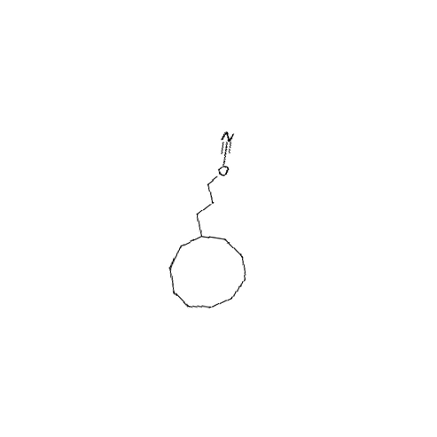 N#COCCCC1CCCCCCCCC1